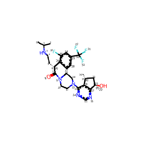 CC(C)NCC[C@@H](C(=O)N1CCN(c2ncnc3c2[C@H](C)C[C@H]3O)CC1)c1ccc(C(F)(F)F)cc1F